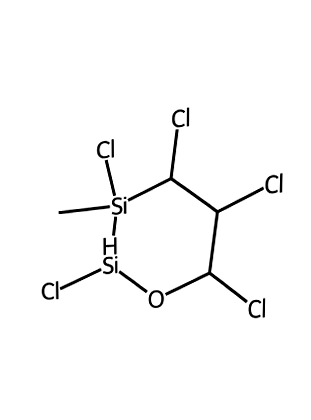 C[Si]1(Cl)C(Cl)C(Cl)C(Cl)O[SiH]1Cl